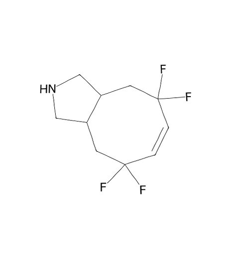 FC1(F)/C=C\C(F)(F)CC2CNCC2C1